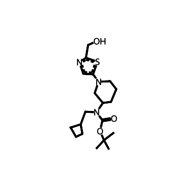 CC(C)(C)OC(=O)N(CC1CCC1)C1CCCN(c2cnc(CO)s2)C1